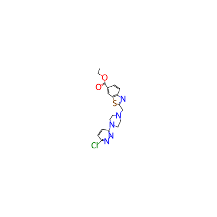 CCOC(=O)c1ccc2nc(CN3CCN(c4ccc(Cl)nn4)CC3)sc2c1